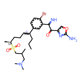 CCC/C(=C\CC[C@H](C)S(=O)(=O)CC(C)CN(C)C)c1ccc(Br)c(C(=N)C(=O)c2coc(N)n2)c1